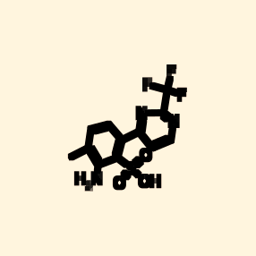 Cc1ccc(-c2ccnc(C(F)(F)F)n2)c(S(=O)(=O)O)c1N